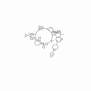 CCn1c(-c2cc(C3CCN(C4COC4)CC3)cnc2[C@H](C)OC)c2c3cc(ccc31)-c1csc(n1)[C@@H](C)[C@H](NC(=O)[C@H]1[C@H](C)[C@@H]1C)C(=O)N1CCC[C@H](N1)C(=O)OCC(C)(C)C2